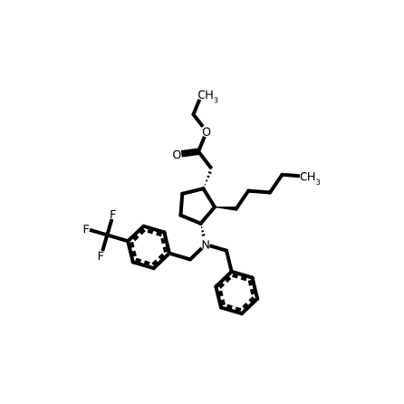 CCCCC[C@@H]1[C@@H](CC(=O)OCC)CC[C@H]1N(Cc1ccccc1)Cc1ccc(C(F)(F)F)cc1